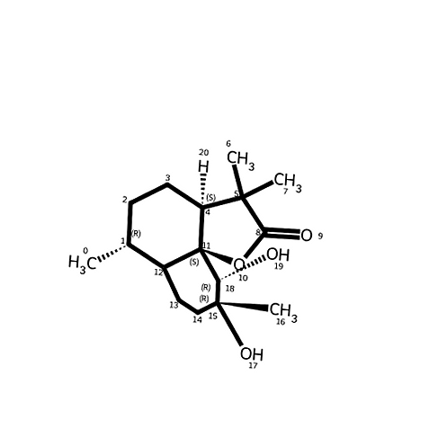 C[C@@H]1CC[C@H]2C(C)(C)C(=O)O[C@@]23C1CC[C@@](C)(O)[C@H]3O